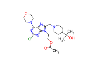 CC(=O)OCCn1c(CN2CCC(C(C)(C)O)CC2)nc2c(N3CCOCC3)nc(Cl)nc21